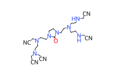 N#CCNCCN(CCNCC#N)CCN1CCN(CCN(CC#N)CCN(CC#N)CC#N)C1=O